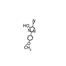 CCOc1ccc(-c2ncc(C#N)c(O)n2)cc1